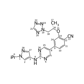 CC(C)n1cc(Nc2ncc(-c3ccc(C#N)c(O[C@@H](C)Cn4ncnn4)c3)cn2)cn1